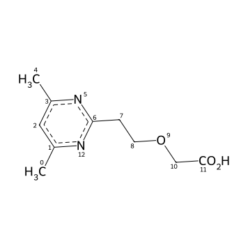 Cc1cc(C)nc(CCOCC(=O)O)n1